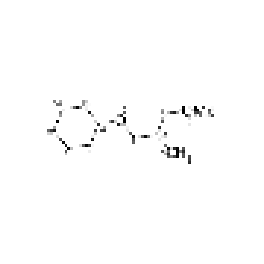 COC[C@H](C)COC1CCCCC1